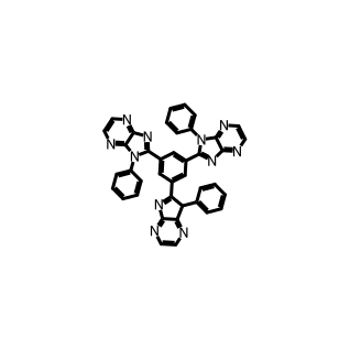 c1ccc(C2C(c3cc(-c4nc5nccnc5n4-c4ccccc4)cc(-c4nc5nccnc5n4-c4ccccc4)c3)=Nc3nccnc32)cc1